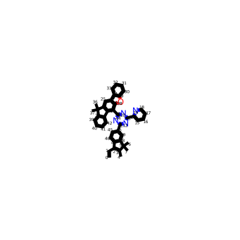 C=CC1=C(C)C(C)(C)c2cc(-c3nc(-c4ccccn4)nc(-c4c5c(cc6c4oc4ccccc46)C(C)(C)c4ccccc4-5)n3)ccc21